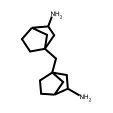 NC1CC2(CC34CCC(C3)C(N)C4)CCC1C2